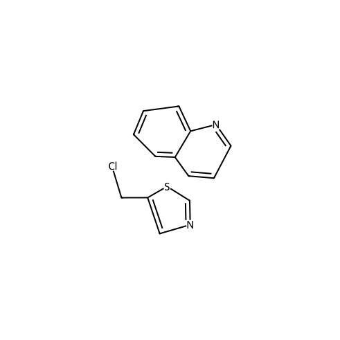 ClCc1cncs1.c1ccc2ncccc2c1